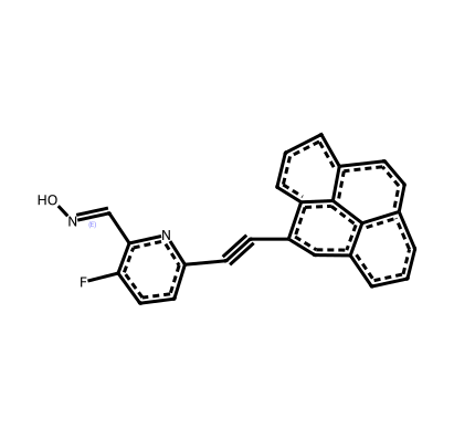 O/N=C/c1nc(C#Cc2cc3cccc4ccc5cccc2c5c43)ccc1F